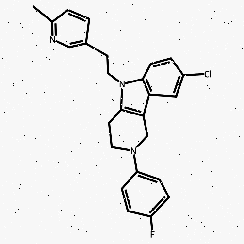 Cc1ccc(CCn2c3c(c4cc(Cl)ccc42)CN(c2ccc(F)cc2)CC3)cn1